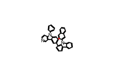 c1ccc(-n2c3ccncc3c3cc(-c4cccc5c6ccccc6n(-c6ccc7ccccc7c6)c45)ccc32)cc1